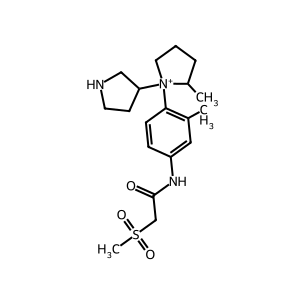 Cc1cc(NC(=O)CS(C)(=O)=O)ccc1[N+]1(C2CCNC2)CCCC1C